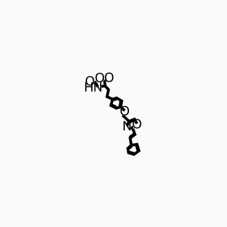 O=C1NC(CCc2ccc(OCc3coc(C=Cc4ccccc4)n3)cc2)C(=O)O1